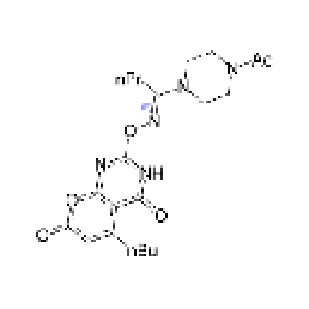 CCCCc1cc(=O)oc2nc(O/N=C(\CCC)N3CCN(C(C)=O)CC3)[nH]c(=O)c12